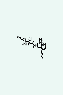 CC/C=C/c1ccnc(N)c1CN(C)C(C)/C(C)=C/C(Cl)=C(\NC)OCCF